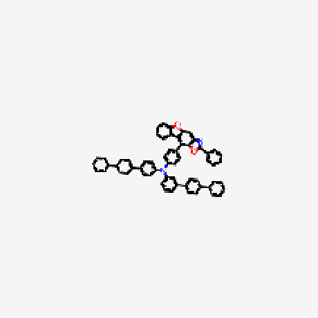 c1ccc(-c2ccc(-c3ccc(N(c4ccc(-c5c6oc(-c7ccccc7)nc6cc6oc7ccccc7c56)cc4)c4cccc(-c5ccc(-c6ccccc6)cc5)c4)cc3)cc2)cc1